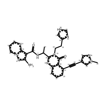 CC(NC(=O)c1c(N)nn2cccnc12)c1nc2cccc(C#Cc3cnn(C)c3)c2c(=O)n1CCc1c[nH]cn1